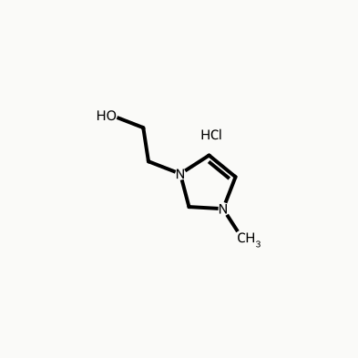 CN1C=CN(CCO)C1.Cl